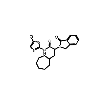 O=C(Nc1ncc(Cl)s1)C(CC1CCCCCC1)N1Cc2ccccc2C1=O